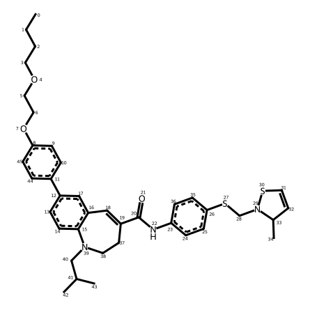 CCCCOCCOc1ccc(-c2ccc3c(c2)C=C(C(=O)Nc2ccc(SCN4SC=CC4C)cc2)CCN3CC(C)C)cc1